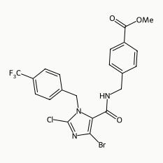 COC(=O)c1ccc(CNC(=O)c2c(Br)nc(Cl)n2Cc2ccc(C(F)(F)F)cc2)cc1